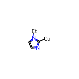 CCn1ccn[c]1[Cu]